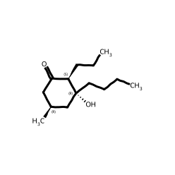 CCCC[C@@]1(O)C[C@@H](C)CC(=O)[C@H]1CCC